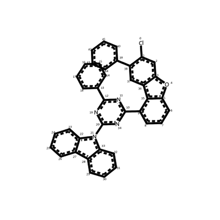 Clc1cc2oc3cccc(-c4nc(-c5ccccc5)nc(-n5c6ccccc6c6ccccc65)n4)c3c2cc1-c1ccccc1